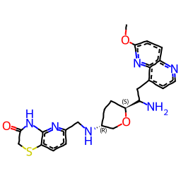 COc1ccc2nccc(CC(N)[C@@H]3CC[C@@H](NCc4ccc5c(n4)NC(=O)CS5)CO3)c2n1